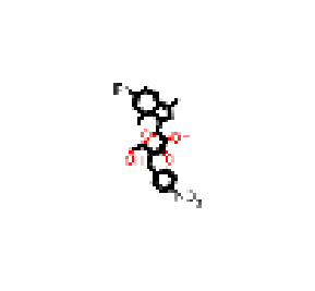 Cc1cc(-c2oc(CO)c(Cc3ccc([N+](=O)[O-])cc3)c(=O)c2O)c2c(C)cc(C(C)C)ccc1-2